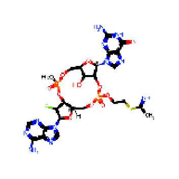 COP1(=O)OCC2O[C@@H](n3cnc4c(=O)[nH]c(N)nc43)C(OP(=O)(OCCSC(C)=N)OC[C@H]3OC(n4cnc5c(N)ncnc54)C(F)C3O1)C2O